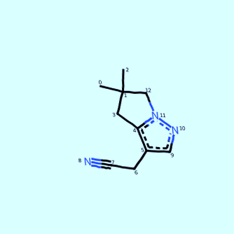 CC1(C)Cc2c(CC#N)cnn2C1